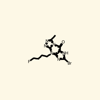 Cc1nnc2n(CCCCF)c3nc(Br)[nH]c3c(=O)n12